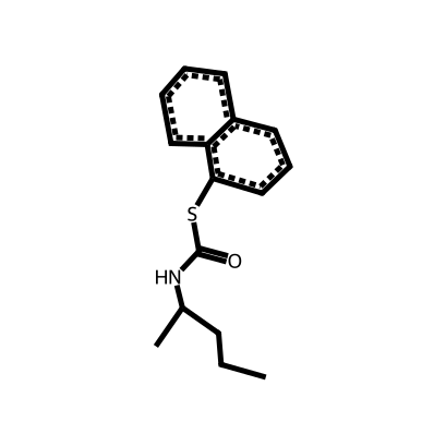 CCCC(C)NC(=O)Sc1cccc2ccccc12